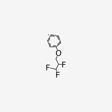 FC(F)C(F)COc1cc[c]cc1